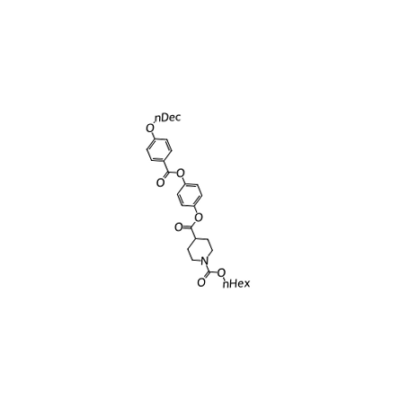 CCCCCCCCCCOc1ccc(C(=O)Oc2ccc(OC(=O)C3CCN(C(=O)OCCCCCC)CC3)cc2)cc1